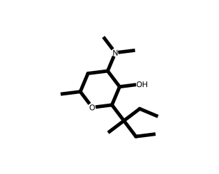 CCC(C)(CC)C1OC(C)CC(N(C)C)C1O